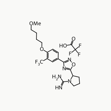 COCCCCOc1ccc(-c2noc(C3CCCN3C(=N)N)n2)cc1C(F)(F)F.O=C(O)C(F)(F)F